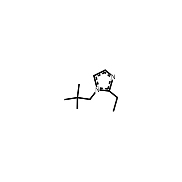 CCc1nccn1CC(C)(C)C